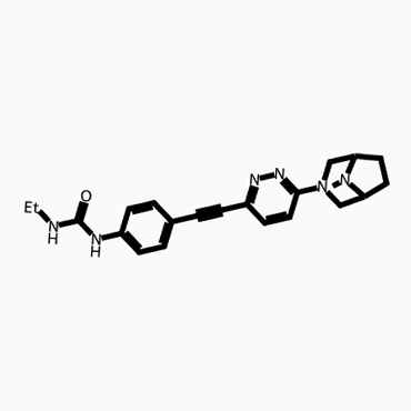 CCNC(=O)Nc1ccc(C#Cc2ccc(N3CC4CCC(C3)N4C)nn2)cc1